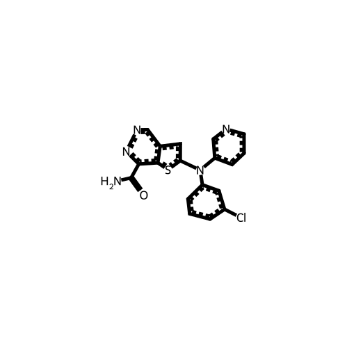 NC(=O)c1nncc2cc(N(c3cccnc3)c3cccc(Cl)c3)sc12